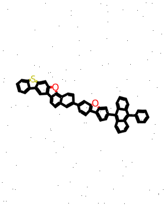 c1ccc(-c2c3ccccc3c(-c3ccc4c(c3)oc3cc(-c5ccc6c(ccc7c8cc9c(cc8oc67)sc6ccccc69)c5)ccc34)c3ccccc23)cc1